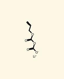 C=CCOC(=O)OC(=O)[O-].[Li+]